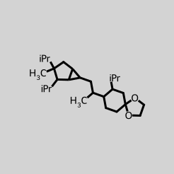 CC(C)C1CC2(CCC1C(C)CC1C3CC(C)(C(C)C)C(C(C)C)C13)OCCO2